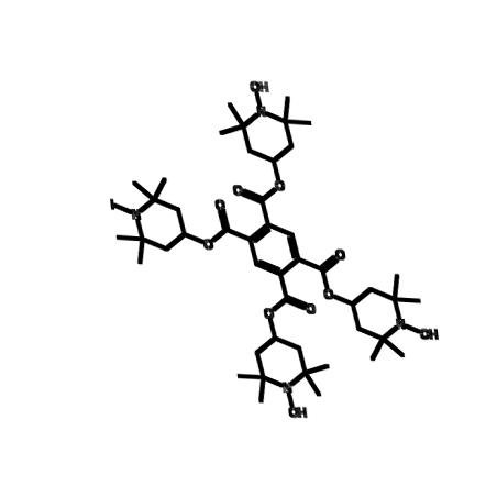 CC1(C)CC(OC(=O)c2cc(C(=O)OC3CC(C)(C)N(O)C(C)(C)C3)c(C(=O)OC3CC(C)(C)N(I)C(C)(C)C3)cc2C(=O)OC2CC(C)(C)N(O)C(C)(C)C2)CC(C)(C)N1O